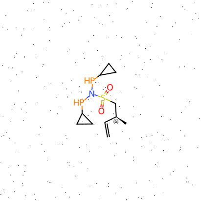 C=C[C@H](C)CS(=O)(=O)N(PC1CC1)PC1CC1